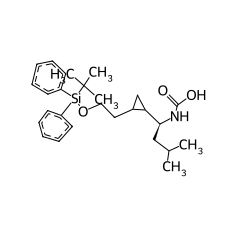 CC(C)C[C@H](NC(=O)O)C1CC1CCO[Si](c1ccccc1)(c1ccccc1)C(C)(C)C